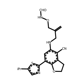 C=C(CNc1cc(-c2ncc(C(C)C)s2)c2c(c1C#N)CCO2)CONC=O